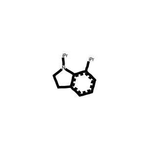 CC(C)c1cccc2c1N(C(C)C)CC2